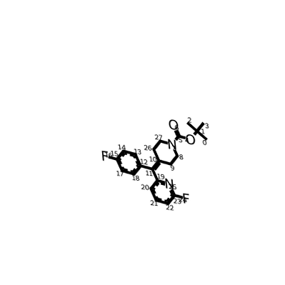 CC(C)(C)OC(=O)N1CCC(=C(c2ccc(F)cc2)c2cccc(F)n2)CC1